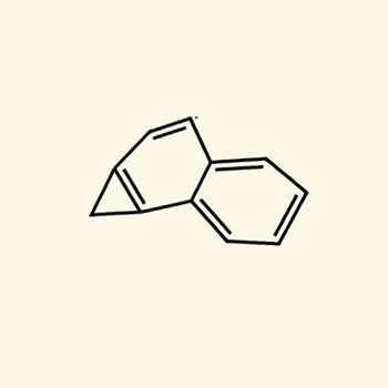 [c]1cc2c(c3ccccc13)C2